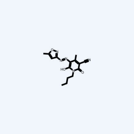 CCCCn1c(O)c(N=Nc2cc(C)on2)c(C)c(C#N)c1=O